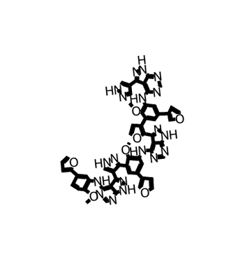 COc1ccc(-c2ccco2)cc1Nc1ncnc2[nH]nc(-c3c[nH]nc3-c3cc(-c4ccoc4)cc(Nc4ncnc5[nH]nc(-c6occc6-c6cc(-c7ccoc7)cc(Nc7ncnc8[nH]nc(-c9cn[nH]c9)c78)c6OC)c45)c3OC)c12